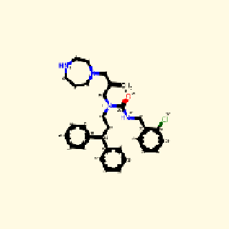 C=C(CN1CCCNCC1)CN(CCC(c1ccccc1)c1ccccc1)C(=O)NCc1ccccc1Cl